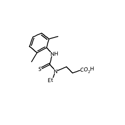 CCN(CCC(=O)O)C(=S)Nc1c(C)cccc1C